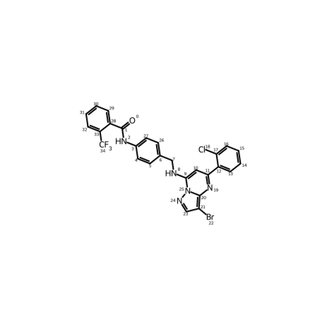 O=C(Nc1ccc(CNc2cc(-c3ccccc3Cl)nc3c(Br)cnn23)cc1)c1ccccc1C(F)(F)F